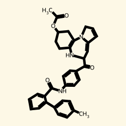 CC(=O)OC1CCC2=C(C1)N1CC=CC1=CC(C(=O)c1ccc(NC(=O)c3ccccc3-c3ccc(C)cc3)cc1)N2